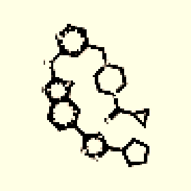 O=C(C1CC1)N1CCN(Cc2ccnc(Nc3nc4ccc(-c5nc(C6CCCC6)no5)cc4[nH]3)c2)CC1